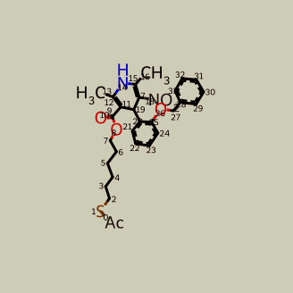 CC(=O)SCCCCCCOC(=O)C1=C(C)NC(C)=C([N+](=O)[O-])C1c1ccccc1OCc1ccccc1